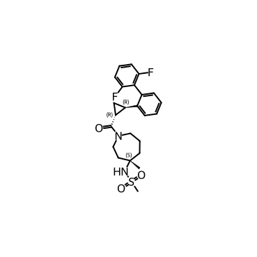 C[C@]1(NS(C)(=O)=O)CCCN(C(=O)[C@@H]2C[C@H]2c2ccccc2-c2c(F)cccc2F)CC1